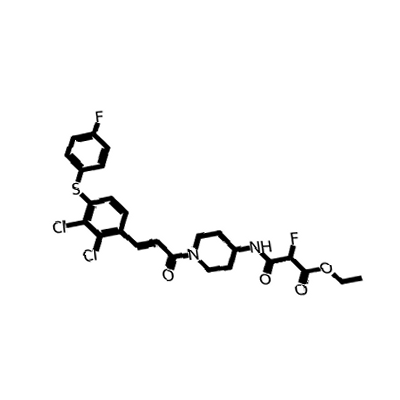 CCOC(=O)C(F)C(=O)NC1CCN(C(=O)/C=C/c2ccc(Sc3ccc(F)cc3)c(Cl)c2Cl)CC1